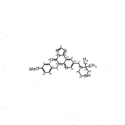 COc1ccc(Cn2c(=O)n3ncnc3c3cc(CN4CCNCC4(C)C)cnc32)cc1